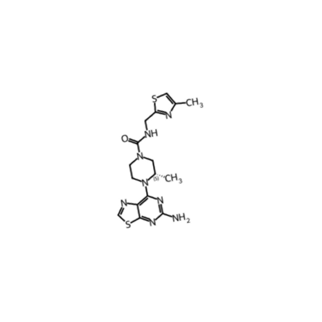 Cc1csc(CNC(=O)N2CCN(c3nc(N)nc4scnc34)[C@@H](C)C2)n1